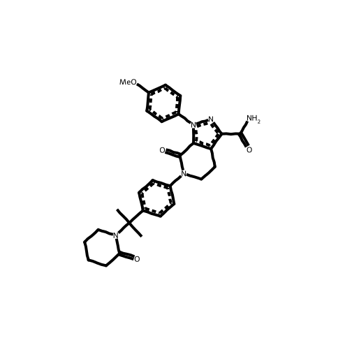 COc1ccc(-n2nc(C(N)=O)c3c2C(=O)N(c2ccc(C(C)(C)N4CCCCC4=O)cc2)CC3)cc1